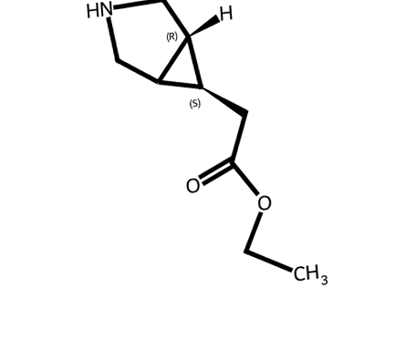 CCOC(=O)C[C@H]1C2CNC[C@@H]21